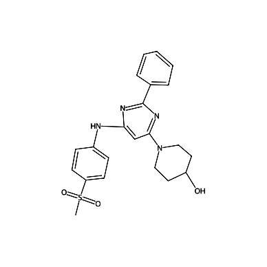 CS(=O)(=O)c1ccc(Nc2cc(N3CCC(O)CC3)nc(-c3ccccc3)n2)cc1